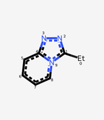 CCc1nnc2ccccn12